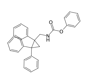 O=C(NCC1(c2ccccc2)CC1(c1ccccc1)c1ccccc1)Oc1ccccc1